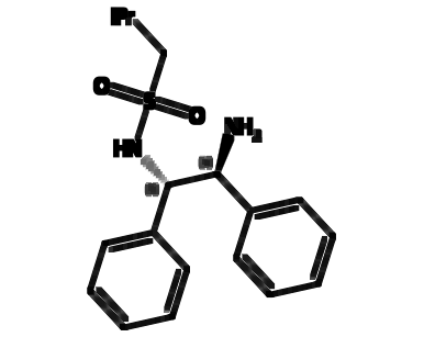 CC(C)CS(=O)(=O)N[C@@H](c1ccccc1)[C@@H](N)c1ccccc1